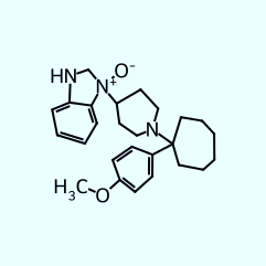 COc1ccc(C2(N3CCC([N+]4([O-])CNc5ccccc54)CC3)CCCCCC2)cc1